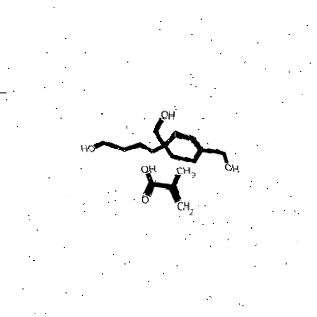 C=C(C)C(=O)O.OCCCCC1(CO)CCC(CO)CC1